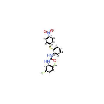 O=C(Nc1cc(F)ccc1F)Nc1ccccc1Sc1ccc([N+](=O)[O-])cc1